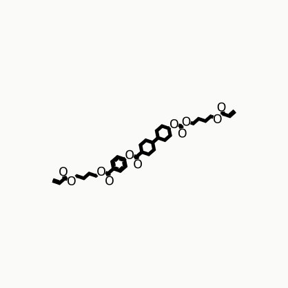 C=CC(=O)OCCCCOC(=O)OC1CCC(C2CCC(C(=O)Oc3ccc(C(=O)OCCCCOC(=O)C=C)cc3)CC2)CC1